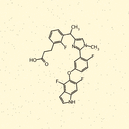 CC(c1cn(C)c(-c2cc(Oc3c(F)cc4[nH]ccc4c3F)ccc2F)n1)c1cccc(CCC(=O)O)c1F